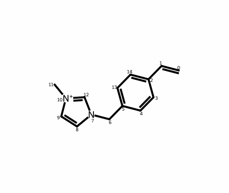 C=Cc1ccc(Cn2cc[n+](C)c2)cc1